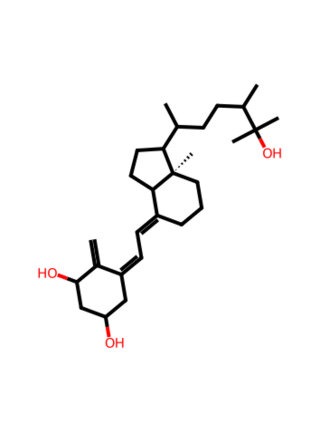 C=C1/C(=C\C=C2/CCC[C@@]3(C)C2CCC3C(C)CCC(C)C(C)(C)O)CC(O)CC1O